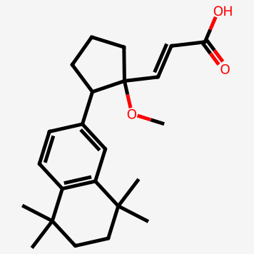 COC1(/C=C/C(=O)O)CCCC1c1ccc2c(c1)C(C)(C)CCC2(C)C